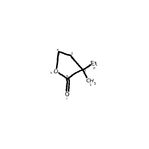 CCC1(C)CCOC1=O